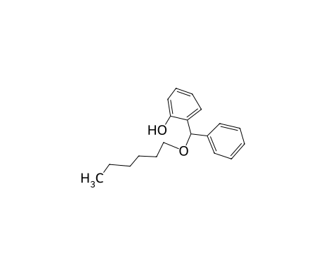 CCCCCCOC(c1ccccc1)c1ccccc1O